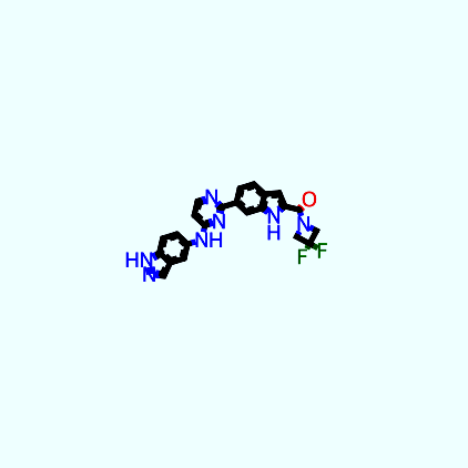 O=C(c1cc2ccc(-c3nccc(Nc4ccc5[nH]ncc5c4)n3)cc2[nH]1)N1CC(F)(F)C1